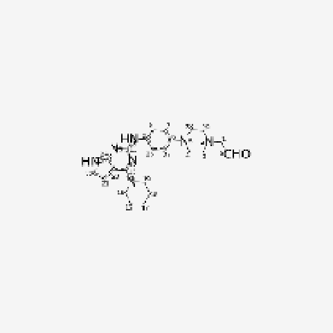 O=CCN1CCN(c2ccc(Nc3nc(N4CCCCC4)c4cc[nH]c4n3)cc2)CC1